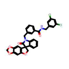 O=C(NCc1cc(Cl)cc(Cl)c1)c1cccc(CN2C(=O)C3(COc4cc5c(cc43)OCO5)c3ccccc32)c1